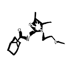 COCCn1c(C)c(C)sc1=NC(=O)C1C2CCC1CC2